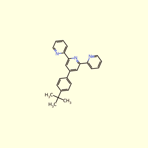 CC(C)(C)c1ccc(-c2cc(-c3ccccn3)nc(-c3ccccn3)c2)cc1